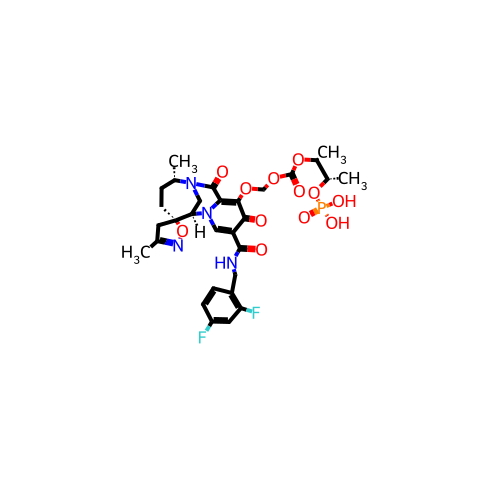 CC1=NO[C@@]2(CC[C@H](C)N3C[C@H]2n2cc(C(=O)NCc4ccc(F)cc4F)c(=O)c(OCOC(=O)O[C@H](C)[C@H](C)OP(=O)(O)O)c2C3=O)C1